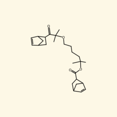 CC(C)(CCCCOC(C)(C)C(=O)C1CC2C=CC1C2)OC(=O)C1CC2C=CC1C2